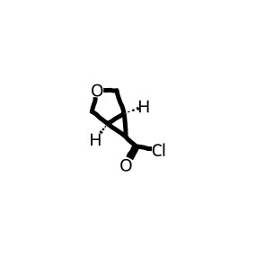 O=C(Cl)C1[C@H]2COC[C@@H]12